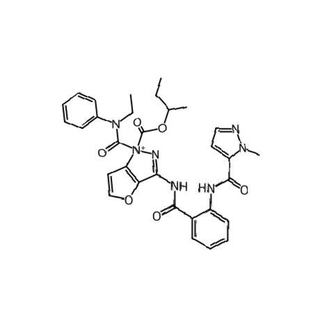 CCC(C)OC(=O)[N+]1(C(=O)N(CC)c2ccccc2)N=C(NC(=O)c2ccccc2NC(=O)c2ccnn2C)c2occc21